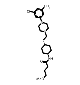 COCCCC(=O)N[C@H]1CC[C@H](CCN2CCN(c3cc(C)cc(Cl)c3)CC2)CC1